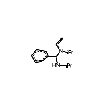 C=CN(C(C)C)C(NC(C)C)c1ccccc1